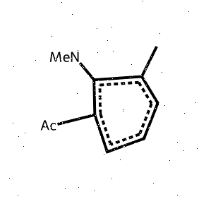 CNc1c(C)cccc1C(C)=O